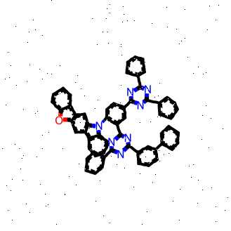 c1ccc(-c2cccc(-c3nc(-c4ccccc4)nc(-c4cc(-c5nc(-c6ccccc6)nc(-c6ccccc6)n5)ccc4-n4c5ccccc5c5cc6oc7ccccc7c6cc54)n3)c2)cc1